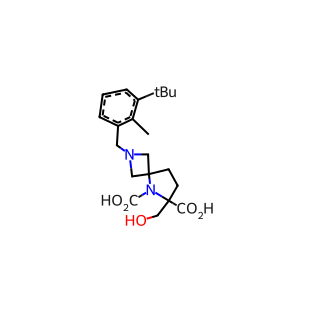 Cc1c(CN2CC3(CCC(CO)(C(=O)O)N3C(=O)O)C2)cccc1C(C)(C)C